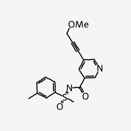 COCC#Cc1cncc(C(=O)N=S(C)(=O)c2cccc(C)c2)c1